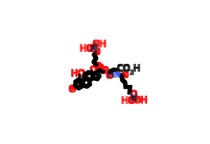 C[C@]12C=CC(=O)C=C1CCC1C3CC[C@](OC(=O)CCCON(O)O)(C(=O)COC(=O)CC(NC(=O)CCCCCON(O)O)C(=O)O)[C@@]3(C)C[C@H](O)[C@@H]12